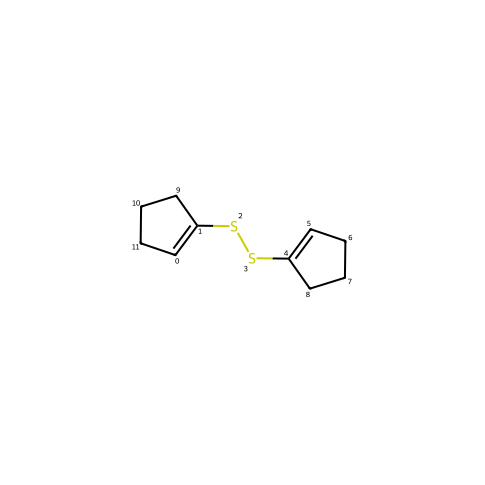 C1=C(SSC2=CCCC2)CCC1